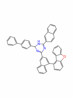 c1ccc(-c2ccc(C3N=C(c4cc(-c5cccc6oc7ccccc7c56)c5ccccc5c4)N=C(c4ccc5ccccc5c4)N3)cc2)cc1